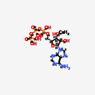 Nc1ncnc2c1ncn2[C@@H]1O[C@H](COP(=O)(O)OP(=O)(O)OP(=O)(O)O)[C@@H](O)[C@H]1O.[CaH2]